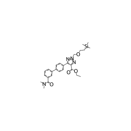 CCOC(=O)c1nn(COCC[Si](C)(C)C)nc1-c1ccc(-c2cccc(C(=O)N(C)C)c2)cc1